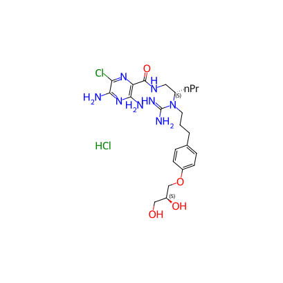 CCC[C@@H](CNC(=O)c1nc(Cl)c(N)nc1N)N(CCCc1ccc(OC[C@@H](O)CO)cc1)C(=N)N.Cl